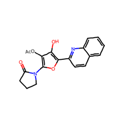 CC(=O)Oc1c(N2CCCC2=O)oc(-c2ccc3ccccc3n2)c1O